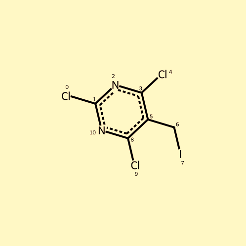 Clc1nc(Cl)c(CI)c(Cl)n1